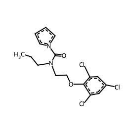 CCCN(CCOc1c(Cl)cc(Cl)cc1Cl)C(=O)n1cccc1